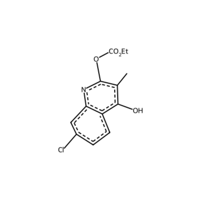 CCOC(=O)Oc1nc2cc(Cl)ccc2c(O)c1C